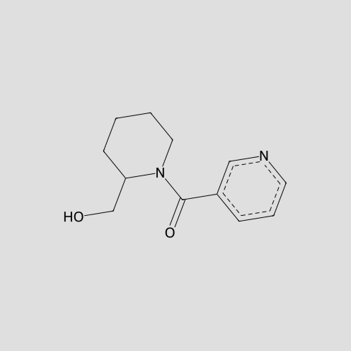 O=C(c1cccnc1)N1CCCCC1CO